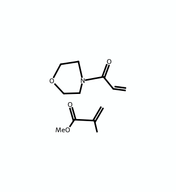 C=C(C)C(=O)OC.C=CC(=O)N1CCOCC1